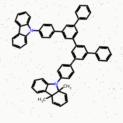 CC12C=CC=CC1(C)N(c1ccc(-c3cc(-c4ccccc4)cc(-c4cc(-c5ccccc5)cc(-c5ccc(-n6c7ccccc7c7ccccc76)cc5)c4)c3)cc1)c1ccccc12